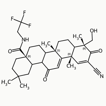 CC1(C)CC[C@]2(C(=O)NCC(F)(F)F)CCC3C(C(=O)C=C4[C@@]5(C)C=C(C#N)C(=O)[C@@](C)(CO)C5CC[C@]43C)C2C1